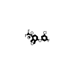 O=S(=O)(c1ccc(Oc2cc(F)cc(Cl)c2)c2cocc12)C(F)F